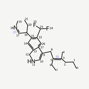 CCC/C(C)=C(\CC)CC1=CNCc2cc(C(/C=N\C)CC)c(C(F)F)cc21